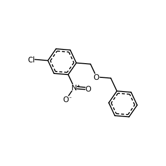 O=[N+]([O-])c1cc(Cl)ccc1COCc1ccccc1